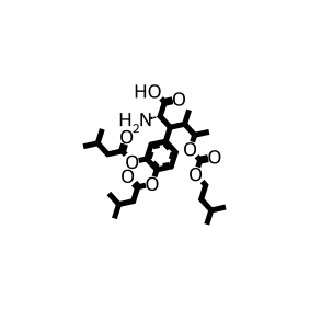 CC(C)CCOC(=O)OC(C)C(C)C(c1ccc(OC(=O)CC(C)C)c(OC(=O)CC(C)C)c1)[C@H](N)C(=O)O